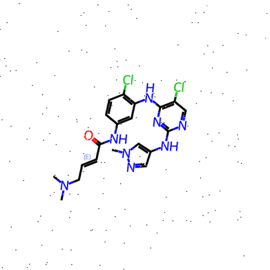 CN(C)C/C=C/C(=O)Nc1ccc(Cl)c(Nc2nc(Nc3cnn(C)c3)ncc2Cl)c1